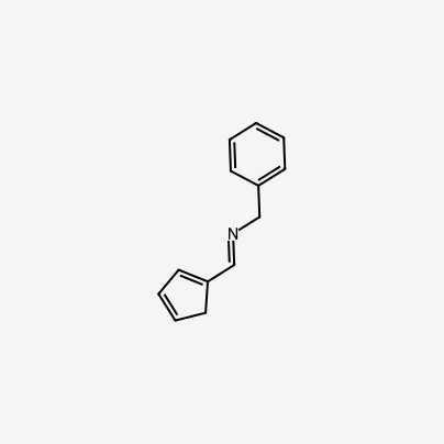 C1=CCC(/C=N/Cc2ccccc2)=C1